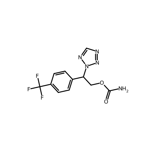 NC(=O)OCC(c1ccc(C(F)(F)F)cc1)n1ncnn1